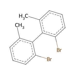 Cc1cccc(Br)c1-c1c(C)cccc1Br